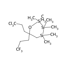 C[Si]1(C)CC(CCC(F)(F)F)(CCC(Cl)(Cl)Cl)O[Si](C)(C)[Si]1(C)C